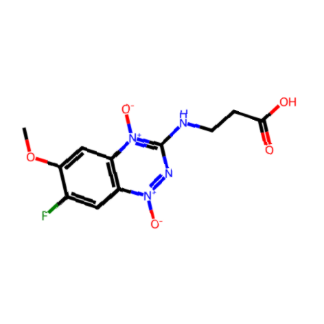 COc1cc2c(cc1F)[n+]([O-])nc(NCCC(=O)O)[n+]2[O-]